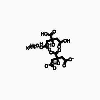 O.O=C(O)CC(O)(CC(=O)O)C(=O)O.O=C([O-])CC(O)(CC(=O)[O-])C(=O)[O-].[K+].[K+].[K+]